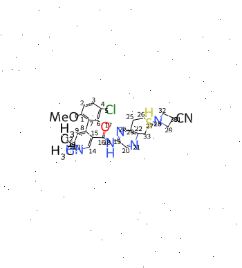 COc1ccc(Cl)cc1C1=CC(C)(C)NC=C1C(=O)Nc1cnc2c(n1)CC[SH](N1CC(C#N)C1)C2